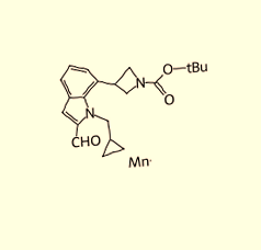 CC(C)(C)OC(=O)N1CC(c2cccc3cc(C=O)n(CC4CC4)c23)C1.[Mn]